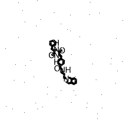 O=C(NCCCN1CCc2ccccc2C1)c1ccc(/C=c2\[nH]c(=O)/c(=C/c3ccccc3)[nH]c2=O)cc1